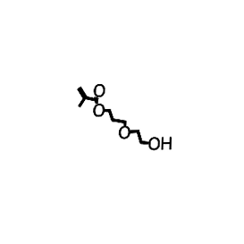 C=C(C)C(=O)OCCCOCCO